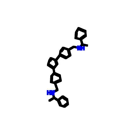 CC(NCc1ccc(-c2cccc(-c3ccc(CNC(C)c4ccccc4)cc3)c2)cc1)c1ccccc1